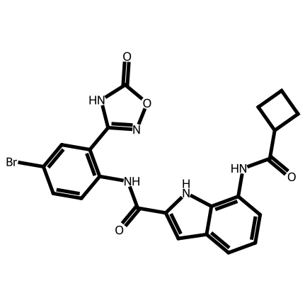 O=C(Nc1ccc(Br)cc1-c1noc(=O)[nH]1)c1cc2cccc(NC(=O)C3CCC3)c2[nH]1